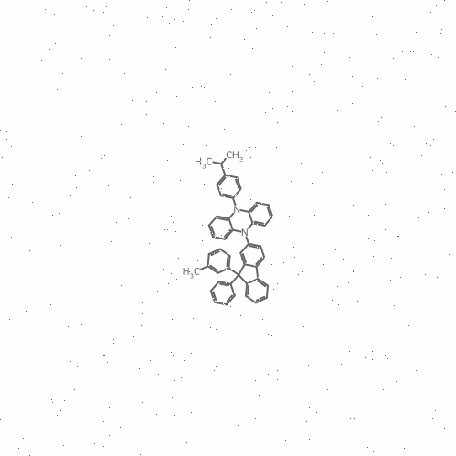 Cc1cccc(C2(c3ccccc3)c3ccccc3-c3ccc(N4c5ccccc5N(c5ccc(C(C)C)cc5)c5ccccc54)cc32)c1